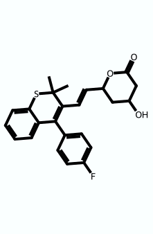 CC1(C)Sc2ccccc2C(c2ccc(F)cc2)=C1C=CC1CC(O)CC(=O)O1